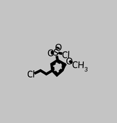 COc1ccc(CCCl)cc1S(=O)(=O)Cl